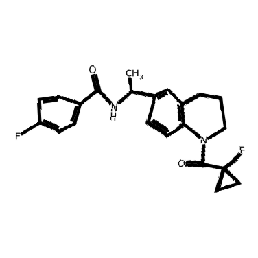 CC(NC(=O)c1ccc(F)cc1)c1ccc2c(c1)CCCN2C(=O)C1(F)CC1